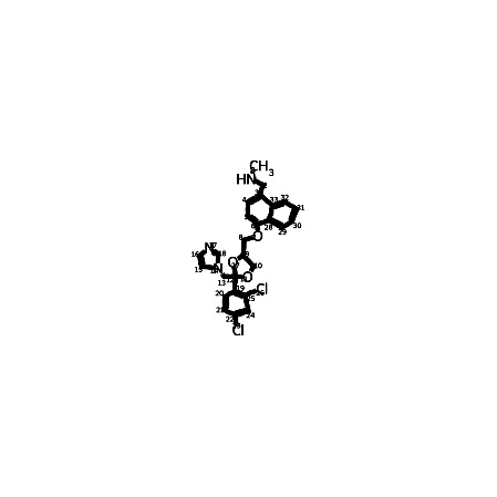 CNCc1ccc(OCC2COC(Cn3ccnc3)(c3ccc(Cl)cc3Cl)O2)c2ccccc12